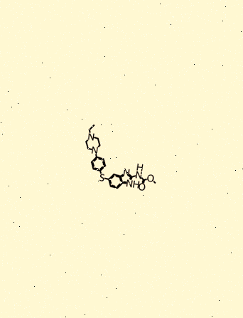 CCN1CCN(c2ccc(Sc3ccc4[nH]c(NC(=O)OC)nc4c3)cc2)CC1